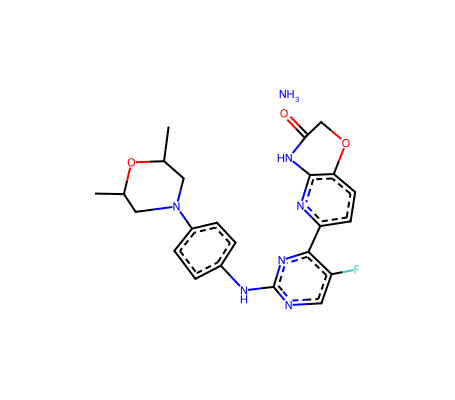 CC1CN(c2ccc(Nc3ncc(F)c(-c4ccc5c(n4)NC(=O)CO5)n3)cc2)CC(C)O1.N